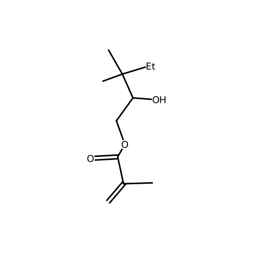 C=C(C)C(=O)OCC(O)C(C)(C)CC